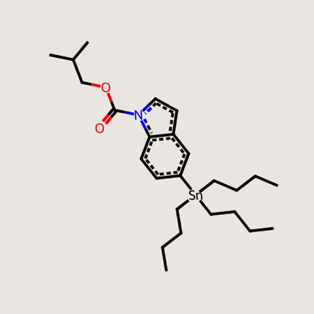 CCC[CH2][Sn]([CH2]CCC)([CH2]CCC)[c]1ccc2c(ccn2C(=O)OCC(C)C)c1